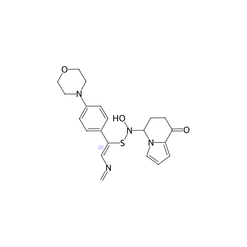 C=N/C=C(\SN(O)C1CCC(=O)c2cccn21)c1ccc(N2CCOCC2)cc1